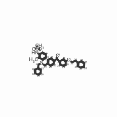 Cc1c(NS(C)(=O)=O)cccc1N(Cc1ccccc1)Cc1ccc(C(=O)c2cccc(OCCc3ccccc3)c2)cc1